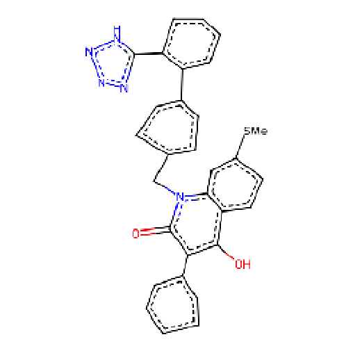 CSc1ccc2c(O)c(-c3ccccc3)c(=O)n(Cc3ccc(-c4ccccc4-c4nnn[nH]4)cc3)c2c1